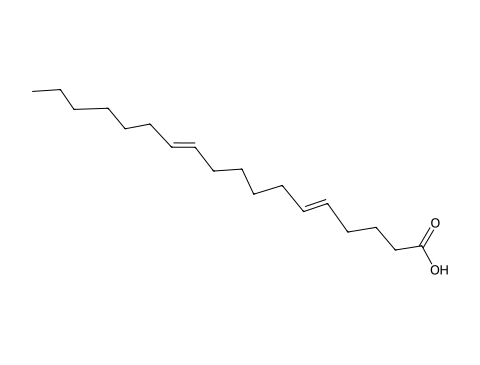 CCCCCCC=CCCCCC=CCCCC(=O)O